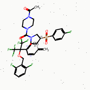 C=C(/C=C\C(=C/C)C(OCc1c(F)cccc1F)(C(F)(F)F)C(F)(F)F)[C@@H]1CN(C(=O)N2CCN(C(C)=O)CC2)C[C@H]1S(=O)(=O)c1ccc(F)cc1